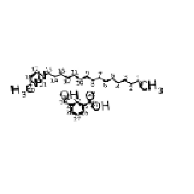 CCCCCCCCCCCCCCCCN1C=CN(C)C1.O=C(O)c1cccc(CO)c1